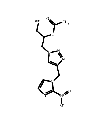 CC(=O)OC(C[18F])Cn1cc(Cn2ccnc2[N+](=O)[O-])nn1